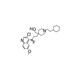 COc1ccc2ncc(Cl)c([C@H](F)CCC3(CO)CCN(CCC4CCCCC4)CC3)c2c1